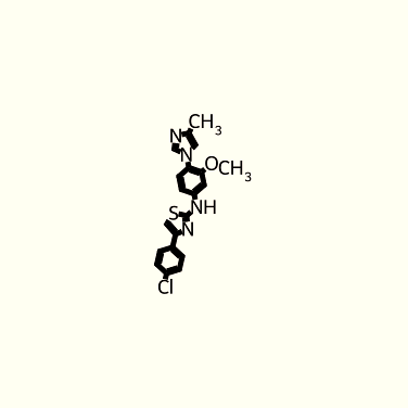 COc1cc(Nc2nc(-c3ccc(Cl)cc3)cs2)ccc1-n1cnc(C)c1